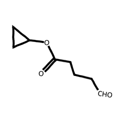 O=CCCCC(=O)OC1CC1